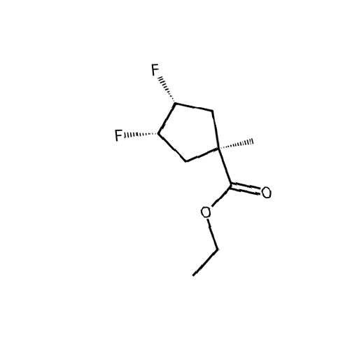 CCOC(=O)[C@]1(C)C[C@@H](F)[C@@H](F)C1